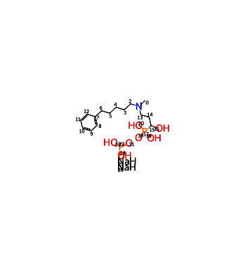 CN(CCCCCc1ccccc1)CCC(O)P(=O)(O)O.O=[PH](O)O.[NaH].[NaH]